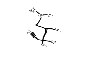 C#CC(C)(O)C(C)CN(C)C